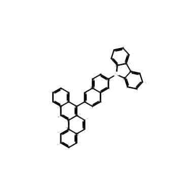 c1ccc2c(-c3ccc4cc(-n5c6ccccc6c6ccccc65)ccc4c3)c3ccc4ccccc4c3cc2c1